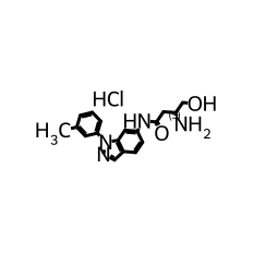 Cc1cccc(-n2ncc3ccc(NC(=O)C[C@H](N)CO)cc32)c1.Cl